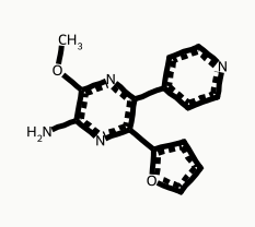 COc1nc(-c2ccncc2)c(-c2ccco2)nc1N